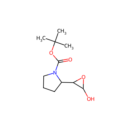 CC(C)(C)OC(=O)N1CCCC1C1OC1O